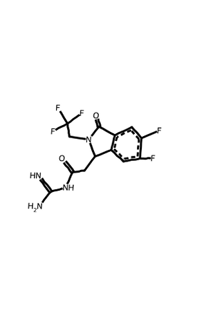 N=C(N)NC(=O)CC1c2cc(F)c(F)cc2C(=O)N1CC(F)(F)F